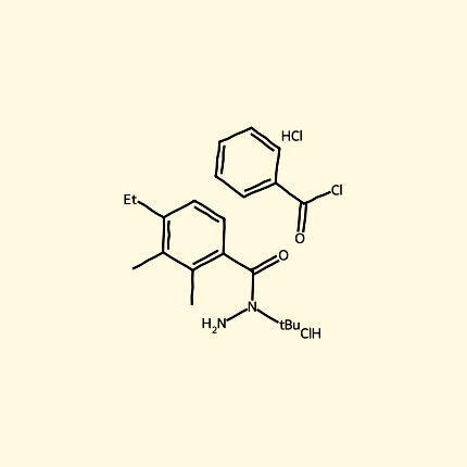 CCc1ccc(C(=O)N(N)C(C)(C)C)c(C)c1C.Cl.Cl.O=C(Cl)c1ccccc1